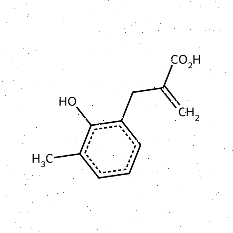 C=C(Cc1cccc(C)c1O)C(=O)O